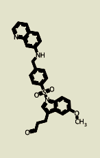 COc1ccc2c(c1)c(CCC=O)cn2S(=O)(=O)c1ccc(CNc2ccc3cccnc3c2)cc1